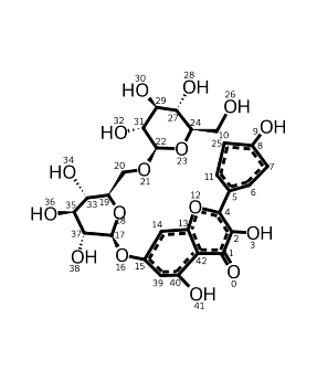 O=c1c(O)c(-c2ccc(O)cc2)oc2cc(O[C@@H]3O[C@H](CO[C@@H]4O[C@H](CO)[C@@H](O)[C@H](O)[C@H]4O)[C@@H](O)[C@H](O)[C@H]3O)cc(O)c12